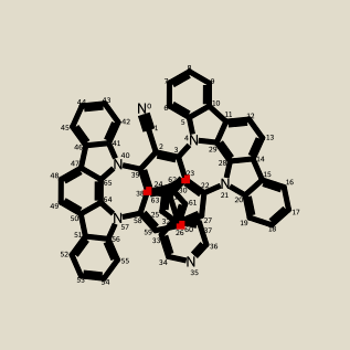 N#Cc1c(-n2c3ccccc3c3ccc4c5ccccc5n(-c5ccccc5)c4c32)cc(-c2ccncc2)cc1-n1c2ccccc2c2ccc3c4ccccc4n(-c4ccccc4)c3c21